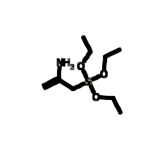 C=C(N)C[Si](OCC)(OCC)OCC